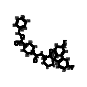 O=C(CN1CCCC(c2ccc(F)cc2)(c2ccc(F)cc2)C1=O)N1CCN(C(=O)OCc2ccccc2)CC1